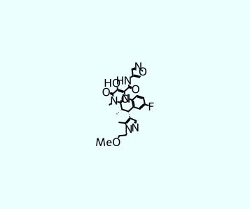 COCCn1ncc([C@@H](c2cc(F)ccc2Cl)[C@H](C)c2nc(C(=O)Nc3cnoc3)c(O)c(=O)n2C)c1C